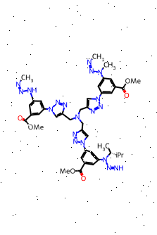 C/N=N\Nc1cc(C(=O)OC)cc(-n2cc(CN(Cc3cn(-c4cc(C(=O)OC)cc(N(C)/N=N\C)c4)nn3)Cc3cn(-c4cc(C(=O)OC)cc(N(N=N)[C@H](C)C(C)C)c4)nn3)nn2)c1